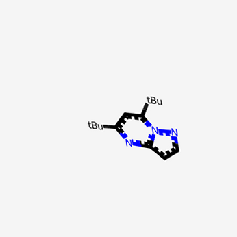 CC(C)(C)c1cc(C(C)(C)C)n2nccc2n1